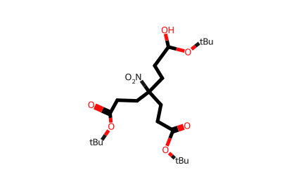 CC(C)(C)OC(=O)CCC(CCC(=O)OC(C)(C)C)(CCC(O)OC(C)(C)C)[N+](=O)[O-]